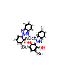 CC(C)(C)c1cc(-n2nc3ccc(Cl)cc3n2)c(O)c(C(C)(C)C)c1.CCCCCCCCC1(O)C=CC=CC1n1nc2ccccc2n1